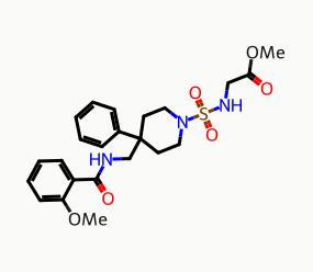 COC(=O)CNS(=O)(=O)N1CCC(CNC(=O)c2ccccc2OC)(c2ccccc2)CC1